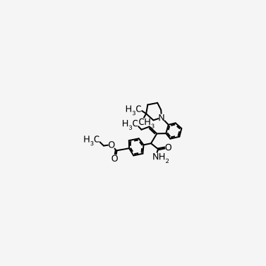 CCC=C(c1ccccc1N1CCCC(C)(C)C1)C(C(N)=O)c1ccc(C(=O)OCC)cc1